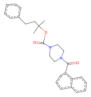 CC(C)(CCc1ccccc1)OC(=O)N1CCN(C(=O)c2cccc3ccccc23)CC1